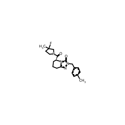 Cc1ccc(Cn2nc3n(c2=O)[C@H](C(=O)N2CCC(C)(F)C2)CCC3)cc1